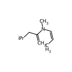 C=C(CC(C)C)N(C)/C=C\C